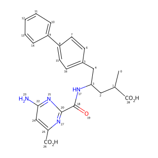 CC(CC(Cc1ccc(-c2ccccc2)cc1)NC(=O)c1nc(N)cc(C(=O)O)n1)C(=O)O